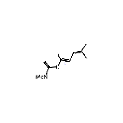 C=C(NC)O/C(C)=C/C=C(C)C